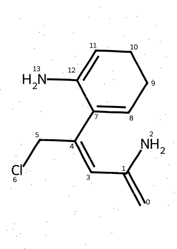 C=C(N)/C=C(/CCl)C1=CCCC=C1N